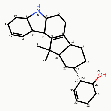 CC1(C)C2=C(CCC3NC4CCC=CC4C23)C2CCC([C@H]3C=CCCC3O)CC21